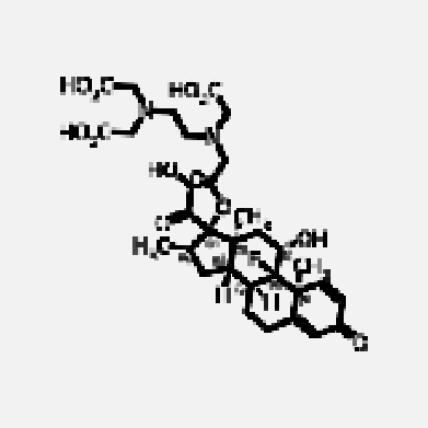 C[C@@H]1C[C@H]2[C@@H]3CCC4=CC(=O)C=C[C@]4(C)[C@@]3(F)[C@@H](O)C[C@]2(C)[C@@]1(OC(=O)CN(CCN(CC(=O)O)CC(=O)O)CC(=O)O)C(=O)CO